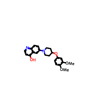 COc1ccc(OC2CCN(c3ccc4nccc(O)c4c3)CC2)cc1OC